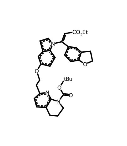 CCOC(=O)C=C(c1ccc2c(c1)CCO2)n1ccc2cc(OCCc3ccc4c(n3)N(C(=O)OC(C)(C)C)CCC4)ccc21